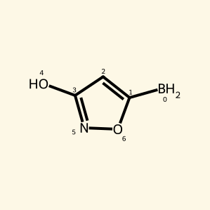 Bc1cc(O)no1